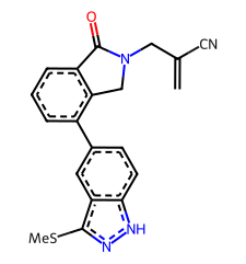 C=C(C#N)CN1Cc2c(cccc2-c2ccc3[nH]nc(SC)c3c2)C1=O